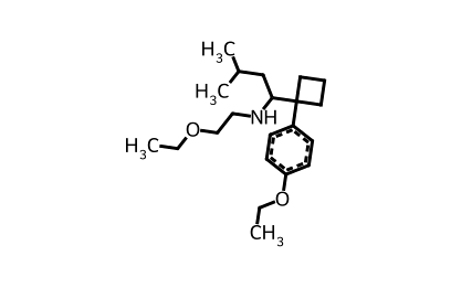 CCOCCNC(CC(C)C)C1(c2ccc(OCC)cc2)CCC1